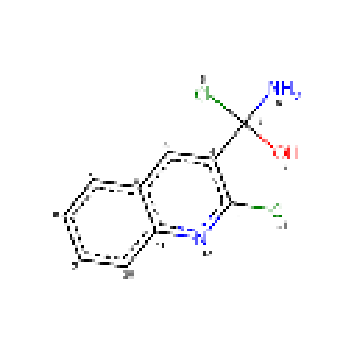 NC(O)(Cl)c1cc2ccccc2nc1Cl